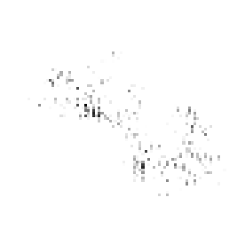 CC(C)[C@H](NC(=O)[C@H](Cc1ccc(O)cc1)NC(=O)[C@@H]1CCCN1C(=O)CN)C(=O)N[C@@H](C)C(=O)N[C@@H](Cc1c[nH]cn1)C(=O)NCC(=O)NCC(=O)N[C@@H](Cc1ccc(O)cc1)C(=O)N[C@@H](CO)C(=O)NCC(=O)N[C@@H](Cc1ccc(O)cc1)C(=O)N[C@@H](CCC(=O)O)C(=O)N[C@@H](Cc1ccc(O)cc1)C(=O)O